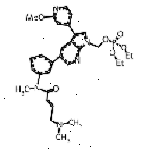 CCOP(=O)(OCC)OCn1cc(-c2ccnc(OC)c2)c2cc(-c3cccc(N(C)C(=O)/C=C/CN(C)C)c3)cnc21